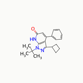 CC(C)(C)n1nc(C2CCC2)c2c(-c3ccccc3)cc(=O)[nH]c21